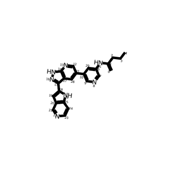 C=C(CCC)Nc1cncc(-c2cnc3[nH]nc(-c4cc5cnccc5[nH]4)c3c2)c1